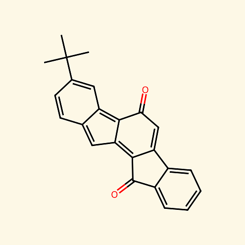 CC(C)(C)c1ccc2cc3c4c(=O)c5ccccc5c-4cc(=O)c-3c2c1